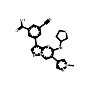 Cn1cc(-c2cn3ncc(-c4cc(C#N)cc(C(=O)O)c4)c3nc2NC2CCOC2)cn1